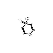 O=P1(Cl)C=COC=C1